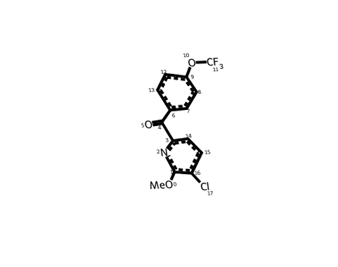 COc1nc(C(=O)c2ccc(OC(F)(F)F)cc2)ccc1Cl